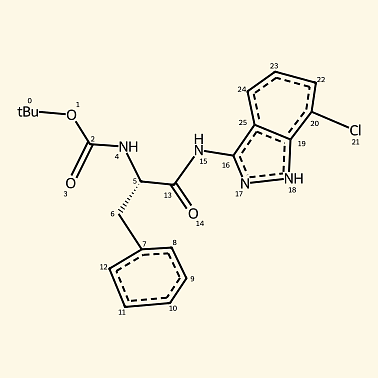 CC(C)(C)OC(=O)N[C@@H](Cc1ccccc1)C(=O)Nc1n[nH]c2c(Cl)cccc12